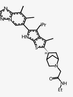 CCNC(=O)CN1CC2CC1C[C@H]2c1sc2[nH]c(-c3cn4ncnc4c(C)c3C)c(C(C)C)c2c1C